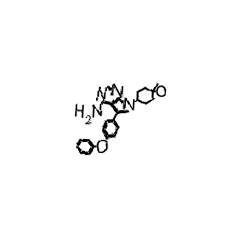 Nc1ncnc2c1c(-c1ccc(Oc3ccccc3)cc1)cn2C1CCC2(CC1)CO2